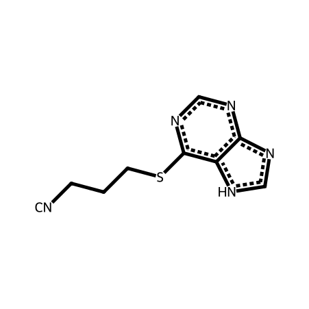 [C-]#[N+]CCCSc1ncnc2nc[nH]c12